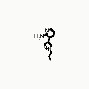 CCCn1cc(-c2cccnc2N)cn1